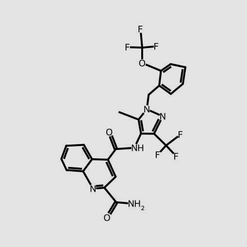 Cc1c(NC(=O)c2cc(C(N)=O)nc3ccccc23)c(C(F)(F)F)nn1Cc1ccccc1OC(F)(F)F